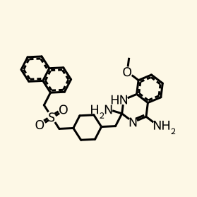 COc1cccc2c1NC(N)(CC1CCC(CS(=O)(=O)Cc3cccc4ccccc34)CC1)N=C2N